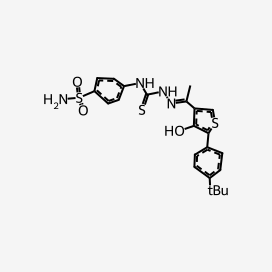 C/C(=N\NC(=S)Nc1ccc(S(N)(=O)=O)cc1)c1csc(-c2ccc(C(C)(C)C)cc2)c1O